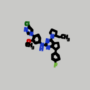 CCC1CCCN1c1nc(Nc2ccc(-n3cnc(Cl)c3)c(OC)c2)nc2c1CCC2c1ccc(F)cc1